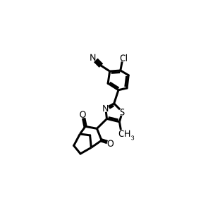 Cc1sc(-c2ccc(Cl)c(C#N)c2)nc1C1C(=O)C2CCC(C2)C1=O